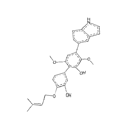 COc1cc(-c2ccc3[nH]ccc3c2)c(OC)c(O)c1-c1ccc(OCC=C(C)C)c(O)c1